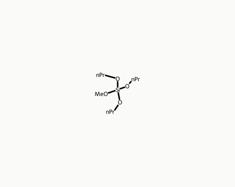 CCCO[Si](OC)(OCCC)OCCC